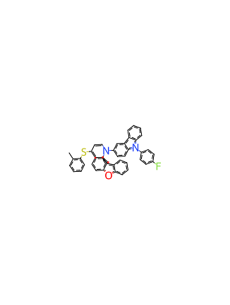 C=C/C=C(\C=C/N(c1ccc2c(c1)c1ccccc1n2-c1ccc(F)cc1)c1cccc2oc3ccccc3c12)Sc1ccccc1C